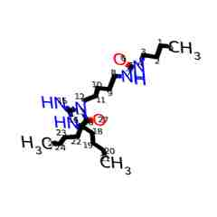 CCCCNC(=O)NCCCCCN1C(=N)NC(CCCC)(CCCC)C1=O